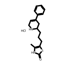 Cc1[nH]c(=O)sc1CCCC1CC(c2ccccc2)=CCN1.Cl